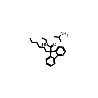 CC(C)N.CCCCCCC1(C(=O)NCC)c2ccccc2-c2ccccc21